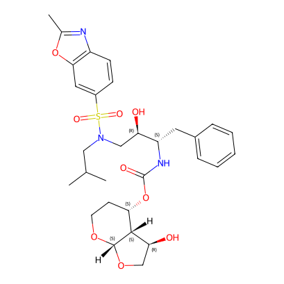 Cc1nc2ccc(S(=O)(=O)N(CC(C)C)C[C@@H](O)[C@H](Cc3ccccc3)NC(=O)O[C@H]3CCO[C@H]4OC[C@H](O)[C@H]43)cc2o1